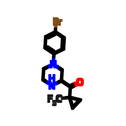 O=C(C1CN(c2ccc(Br)cc2)CCN1)C1(C(F)(F)F)CC1